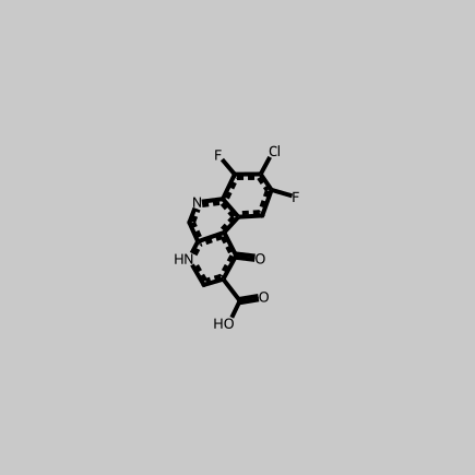 O=C(O)c1c[nH]c2cnc3c(F)c(Cl)c(F)cc3c2c1=O